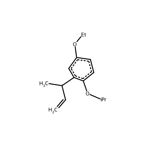 C=C[C](C)c1cc(OCC)ccc1OC(C)C